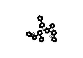 c1ccc(-c2ccc(N(c3ccc(-c4cccc5c4oc4ccccc45)c(-c4ccccc4)c3)c3ccc(-c4cccc5c4oc4ccccc45)c(-c4ccccc4)c3)cc2)cc1